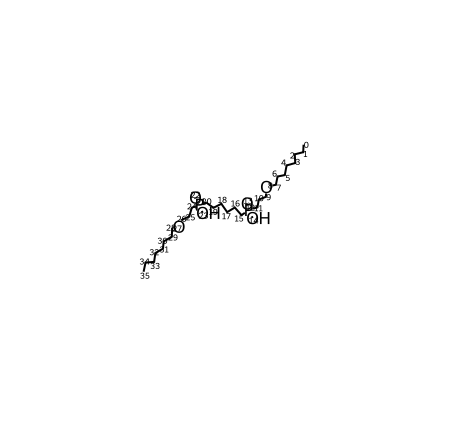 CCCCCCCCOCCCP(=O)(O)CCCCCCP(=O)(O)CCCOCCCCCCCC